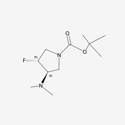 CN(C)[C@@H]1CN(C(=O)OC(C)(C)C)C[C@H]1F